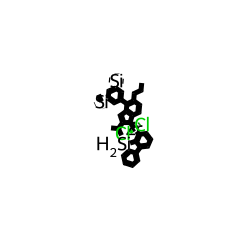 CCCc1ccc2c(c1-c1cc([Si](C)(C)C)cc([Si](C)(C)C)c1)C=C(C(C)C)[CH]2[Zr]([Cl])([Cl])[c]1cccc2c1[SiH2]c1ccccc1-2